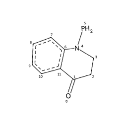 O=C1CCN(P)c2ccccc21